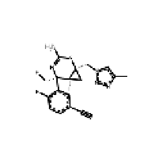 C#Cc1ccc(F)c([C@@]2(CF)N=C(N)S[C@@]3(Cn4cc(C)nn4)C[C@H]32)c1